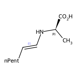 CCCCC/C=C/N[C@H](C)C(=O)O